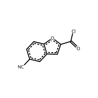 N#Cc1ccc2oc(C(=O)Cl)cc2c1